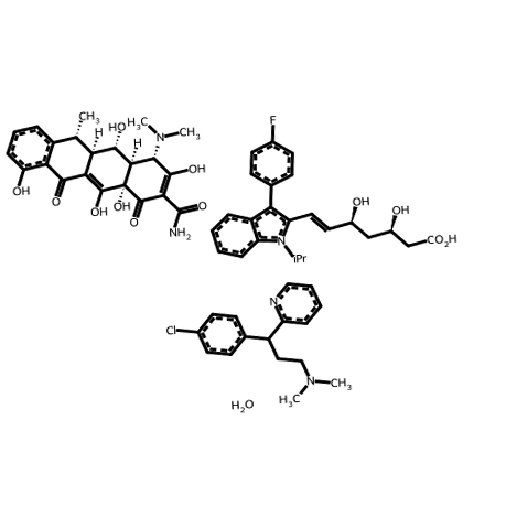 CC(C)n1c(/C=C/[C@@H](O)C[C@@H](O)CC(=O)O)c(-c2ccc(F)cc2)c2ccccc21.CN(C)CCC(c1ccc(Cl)cc1)c1ccccn1.C[C@H]1c2cccc(O)c2C(=O)C2=C(O)[C@]3(O)C(=O)C(C(N)=O)=C(O)[C@@H](N(C)C)[C@@H]3[C@@H](O)[C@@H]21.O